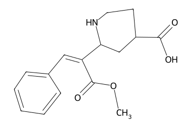 COC(=O)C(=Cc1ccccc1)C1CC(C(=O)O)CCN1